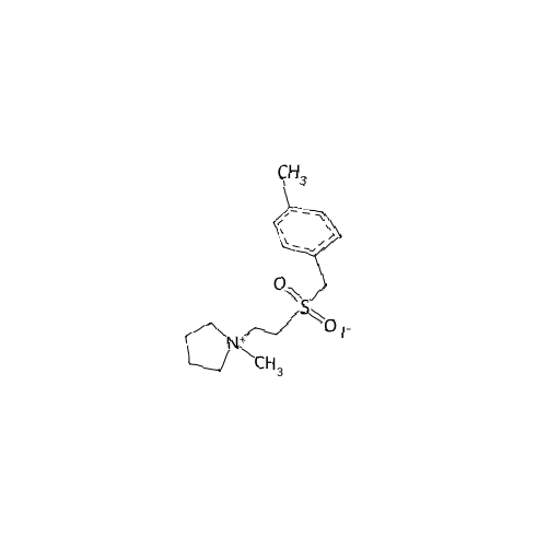 Cc1ccc(CS(=O)(=O)CC[N+]2(C)CCCC2)cc1.[I-]